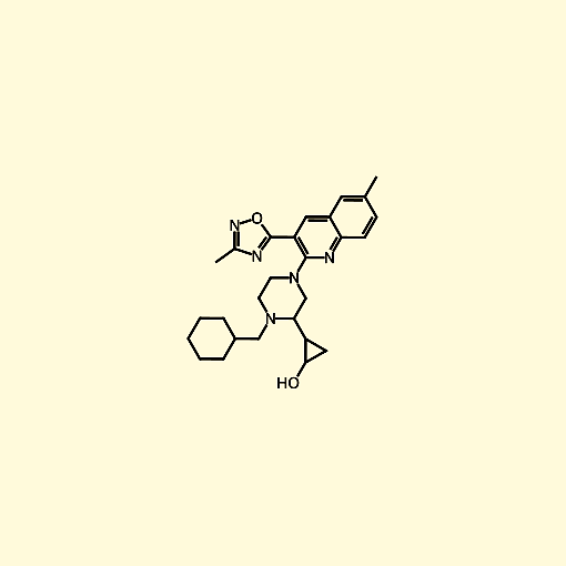 Cc1ccc2nc(N3CCN(CC4CCCCC4)C(C4CC4O)C3)c(-c3nc(C)no3)cc2c1